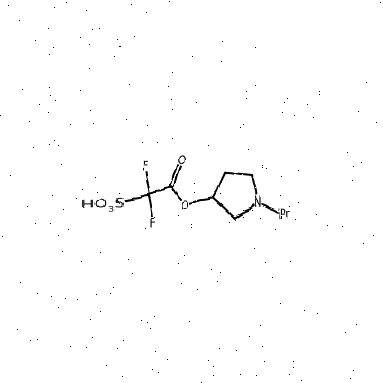 CC(C)N1CCC(OC(=O)C(F)(F)S(=O)(=O)O)C1